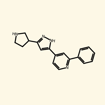 c1ccc(-c2cc(-c3cc(C4CCNC4)n[nH]3)ccn2)cc1